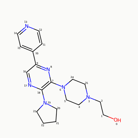 OCCN1CCN(c2nc(-c3ccncc3)cnc2N2CCCC2)CC1